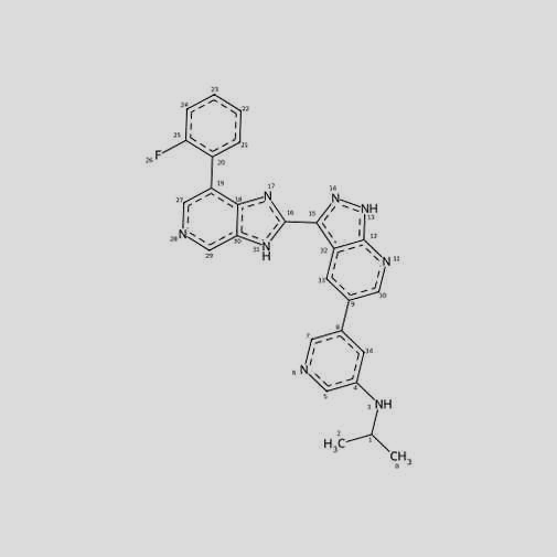 CC(C)Nc1cncc(-c2cnc3[nH]nc(-c4nc5c(-c6ccccc6F)cncc5[nH]4)c3c2)c1